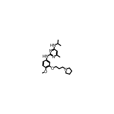 COc1ccc(Nc2nc(C)cc(NC(C)C)n2)cc1OCCCN1CCCC1